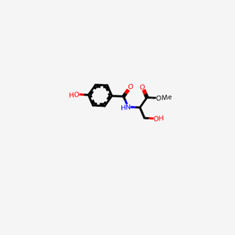 COC(=O)C(CO)NC(=O)c1ccc(O)cc1